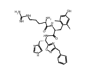 Cc1cc(O)cc(C)c1C[C@H](NC(=O)[C@H](N)CCCNC(=N)N)C(=O)N[C@@H](Cc1c[nH]cn1)c1nc(Cc2ccccc2)no1